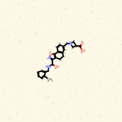 Cc1ccccc1CNC(O)c1noc2c1CCc1cc(CN3CC(C(=O)O)C3)ccc1-2